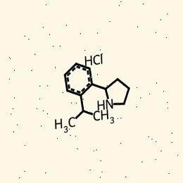 CC(C)c1ccccc1C1CCCN1.Cl